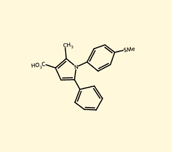 CSc1ccc(-n2c(-c3ccccc3)cc(C(=O)O)c2C)cc1